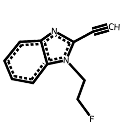 C#Cc1nc2ccccc2n1CCF